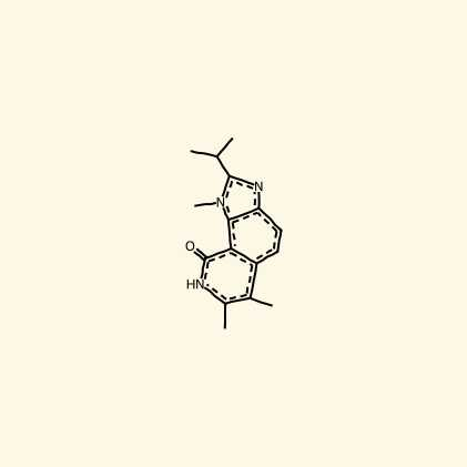 Cc1[nH]c(=O)c2c(ccc3nc(C(C)C)n(C)c32)c1C